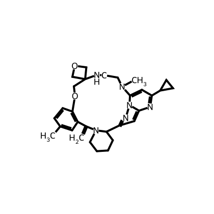 C=C1c2cc(C)ccc2OCC2(COC2)NCCN(C)c2cc(C3CC3)nc3cc(nn23)C2CCCCN12